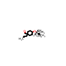 C=CCC1(C=O)CCC(O[Si](C)(C)C(C)(C)C)CC1